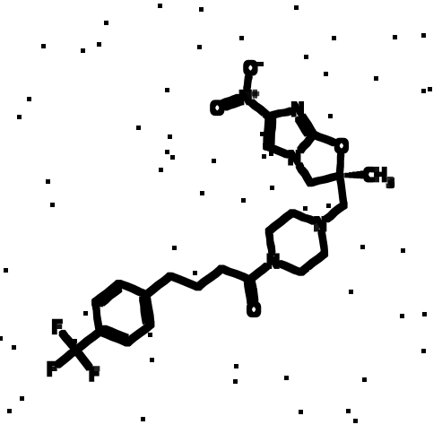 C[C@]1(CN2CCN(C(=O)CCCc3ccc(C(F)(F)F)cc3)CC2)Cn2cc([N+](=O)[O-])nc2O1